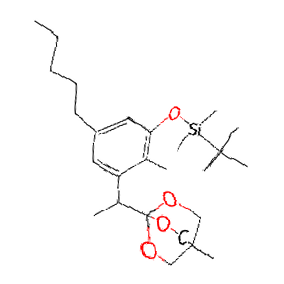 CCCCCc1cc(O[Si](C)(C)C(C)(C)C)c(C)c(C(C)C23OCC(C)(CO2)CO3)c1